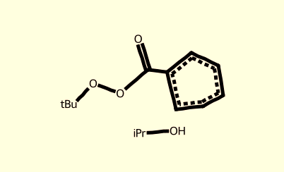 CC(C)(C)OOC(=O)c1ccccc1.CC(C)O